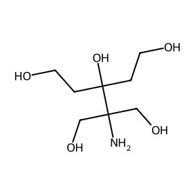 NC(CO)(CO)C(O)(CCO)CCO